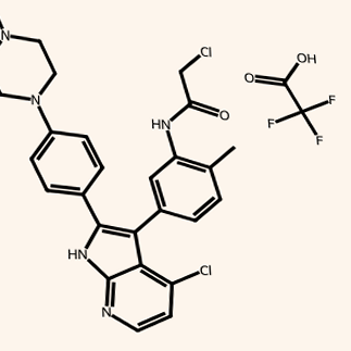 Cc1ccc(-c2c(-c3ccc(N4CCN(C)CC4)cc3)[nH]c3nccc(Cl)c23)cc1NC(=O)CCl.O=C(O)C(F)(F)F